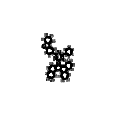 c1ccc(-c2nc(-c3ccc4oc5ccccc5c4c3)nc(-n3c4ccc5ccccc5c4c4c5ccccc5c5ccccc5c43)n2)cc1